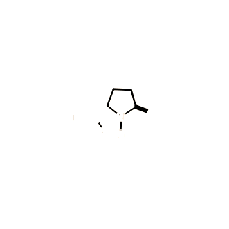 CC(=O)O.O=C1CCC[N]1[Zn]